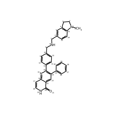 CN1CCc2cc(CNCc3ccc(-c4nc5cc[nH]c(=O)c5cc4-c4ccccc4)cc3)ccc21